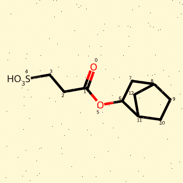 O=C(CCS(=O)(=O)O)OC1CC2CCC1C2